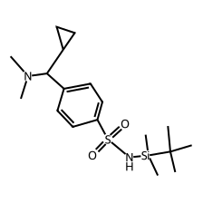 CN(C)C(c1ccc(S(=O)(=O)N[Si](C)(C)C(C)(C)C)cc1)C1CC1